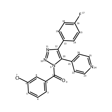 O=C(c1cccc(Cl)c1)n1nnc(-c2ccc(F)cc2)c1-c1ccncc1